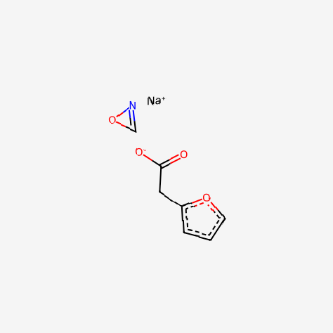 C1=NO1.O=C([O-])Cc1ccco1.[Na+]